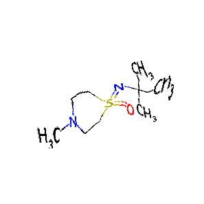 CN1CCS(=O)(=NC(C)(C)C)CC1